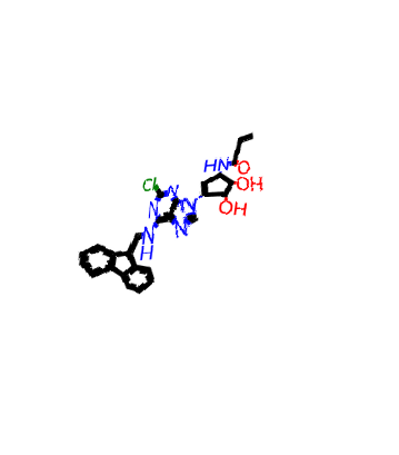 CCC(=O)N[C@H]1C[C@@H](n2cnc3c(NCC4c5ccccc5-c5ccccc54)nc(Cl)nc32)[C@H](O)[C@@H]1O